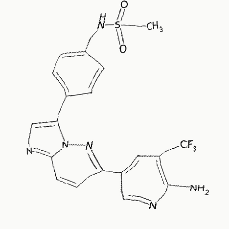 CS(=O)(=O)Nc1ccc(-c2cnc3ccc(-c4cnc(N)c(C(F)(F)F)c4)nn23)cc1